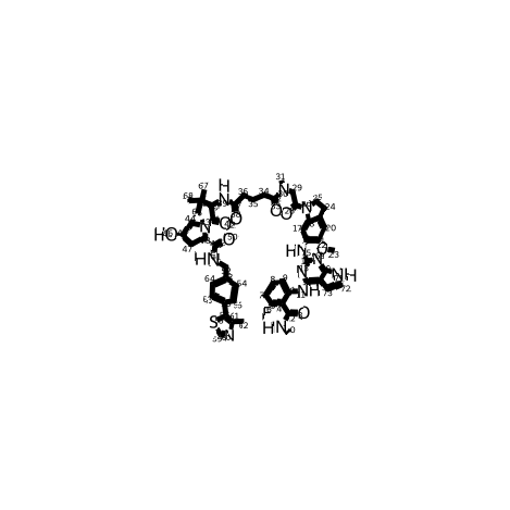 CNC(=O)c1c(F)cccc1Nc1nc(Nc2cc3c(cc2OC)CCN3C(=O)CN(C)C(=O)CCCC(=O)NC(C(=O)N2C[C@H](O)C[C@H]2C(=O)NCc2ccc(-c3scnc3C)cc2)C(C)(C)C)nc2[nH]ccc12